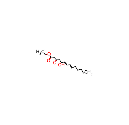 CCCCCC=CC=CC(O)CC(=O)CC(=O)OCC